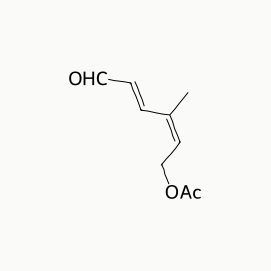 CC(=O)OCC=C(C)C=CC=O